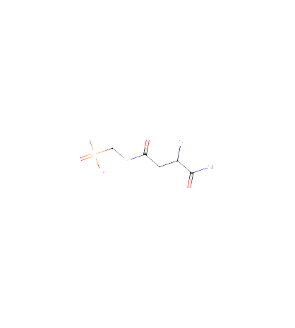 NC(=O)C(N)CC(=O)NCP(=O)(O)O